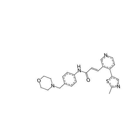 Cc1ncc(-c2ccncc2C=CC(=O)Nc2ccc(CN3CCOCC3)cc2)s1